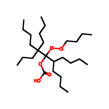 CCCCOOC(OC(=O)O)(C(CCCC)CCCC)C(CCC)(CCCC)CCCC